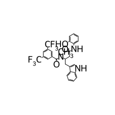 CN(C(=O)c1cc(C(F)(F)F)cc(C(F)(F)F)c1)C(CC(=O)Nc1ccccc1O)Cc1c[nH]c2ccccc12